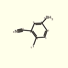 Bc1ccc(I)c(C#N)c1